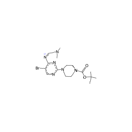 CN(C)/C=N\c1nc(N2CCN(C(=O)OC(C)(C)C)CC2)ncc1Br